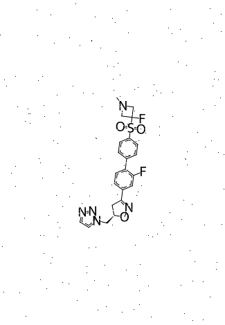 CN1CC(F)(S(=O)(=O)c2ccc(-c3ccc(C4=NO[C@@H](Cn5ccnn5)C4)cc3F)cc2)C1